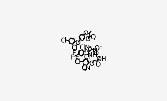 COC(=O)C(C)Oc1ccc(Oc2ccc(Cl)cc2Cl)cc1.Nc1c([N+](=O)[O-])cnn1-c1c(Cl)cc(C(F)(F)F)cc1Cl.O=C(O)COc1ccc(Cl)c2cccnc12